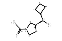 CN(C1CCC1)[C@H]1CCN(C(=O)O)C1